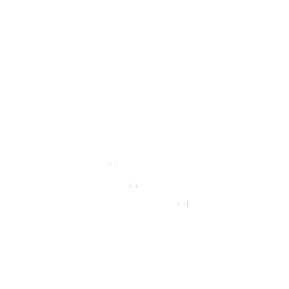 COc1c(C)cccc1C(=O)C(=O)O